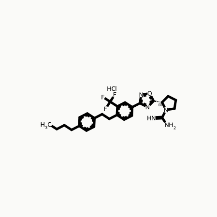 CCCCc1ccc(CCc2ccc(-c3noc([C@@H]4CCCN4C(=N)N)n3)cc2C(F)(F)F)cc1.Cl